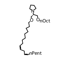 CCCCC/C=C\C/C=C\CCCCCCCCOC[C@H](COCCCCCCCC)N1CCCC1